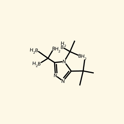 BC(B)(B)c1nnc(C(C)(C)C)n1C(B)(B)C